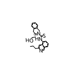 CCCc1cc2c(NC(=S)N3Cc4ccccc4C[C@H]3CCO)cccc2cn1